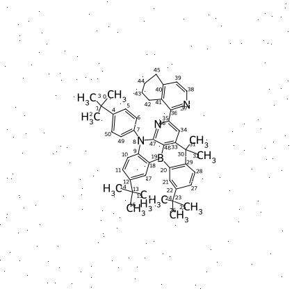 CC(C)(C)c1ccc(N2c3ccc(C(C)(C)C)cc3B3c4cc(C(C)(C)C)ccc4C(C)(C)c4cc(-c5nccc6c5CCCC6)nc2c43)cc1